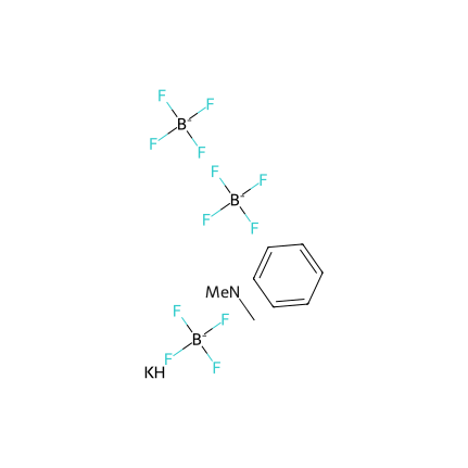 CNC.F[B-](F)(F)F.F[B-](F)(F)F.F[B-](F)(F)F.[KH].c1ccccc1